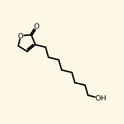 O=C1OCC=C1CCCCCCCCO